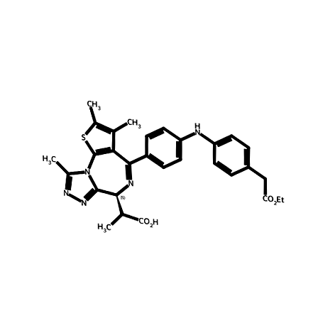 CCOC(=O)Cc1ccc(Nc2ccc(C3=N[C@@H](C(C)C(=O)O)c4nnc(C)n4-c4sc(C)c(C)c43)cc2)cc1